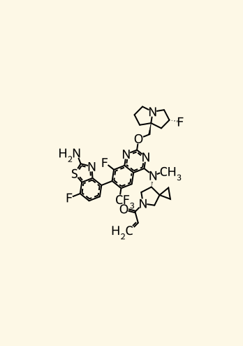 C=CC(=O)N1C[C@H](N(C)c2nc(OC[C@@]34CCCN3C[C@H](F)C4)nc3c(F)c(-c4ccc(F)c5sc(N)nc45)c(C(F)(F)F)cc23)C2(CC2)C1